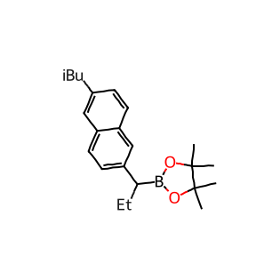 CCC(C)c1ccc2cc(C(CC)B3OC(C)(C)C(C)(C)O3)ccc2c1